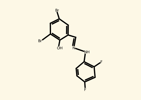 Oc1c(Br)cc(Br)cc1/C=N/Nc1ccc(F)cc1F